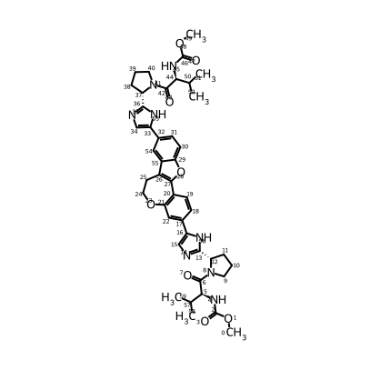 COC(=O)N[C@H](C(=O)N1CCC[C@H]1c1ncc(-c2ccc3c(c2)OCCc2c-3oc3ccc(-c4cnc([C@@H]5CCCN5C(=O)[C@@H](NC(=O)OC)C(C)C)[nH]4)cc23)[nH]1)C(C)C